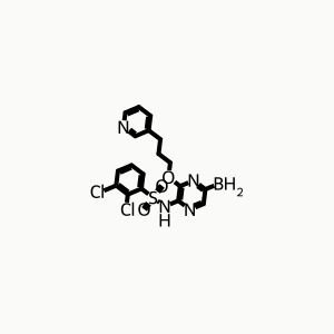 Bc1cnc(NS(=O)(=O)c2cccc(Cl)c2Cl)c(OCCCc2cccnc2)n1